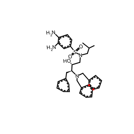 CC(C)CN(C[C@@H](O)[C@H](Cc1ccccc1)N(Cc1ccccc1)Cc1ccccc1)S(=O)(=O)c1ccc(N)c(N)c1